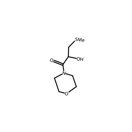 CSCC(O)C(=O)N1CCOCC1